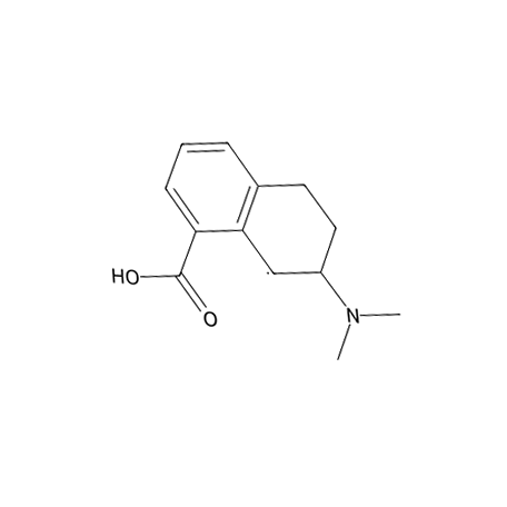 CN(C)C1[CH]c2c(cccc2C(=O)O)CC1